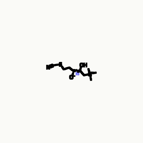 C[N+](C)(C)C/C(O)=[P+](\[O-])CCSC#N